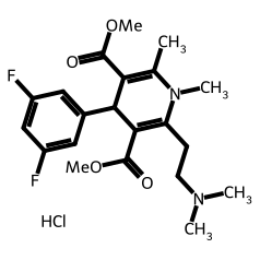 COC(=O)C1=C(C)N(C)C(CCN(C)C)=C(C(=O)OC)C1c1cc(F)cc(F)c1.Cl